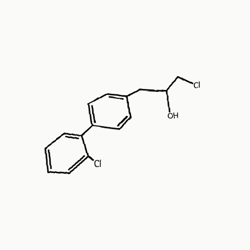 OC(CCl)Cc1ccc(-c2ccccc2Cl)cc1